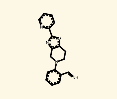 N=Cc1ccccc1N1CCc2oc(-c3ccccn3)nc2C1